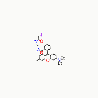 C=c1ccc2c(c1)Oc1cc(N(CC)CC)ccc1C=2c1ccccc1C(=O)N(C)CCN(C)C(=O)CI